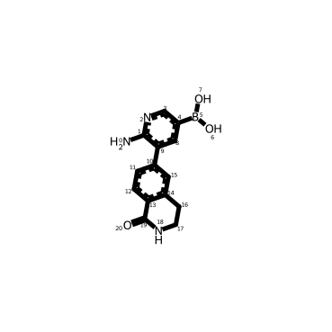 Nc1ncc(B(O)O)cc1-c1ccc2c(c1)CCNC2=O